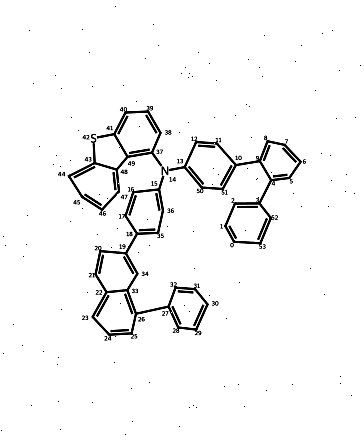 c1ccc(-c2ccccc2-c2ccc(N(c3ccc(-c4ccc5cccc(-c6ccccc6)c5c4)cc3)c3cccc4sc5ccccc5c34)cc2)cc1